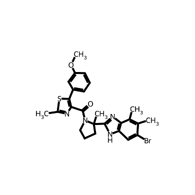 COc1cccc(-c2sc(C)nc2C(=O)N2CCCC2(C)c2nc3c(C)c(C)c(Br)cc3[nH]2)c1